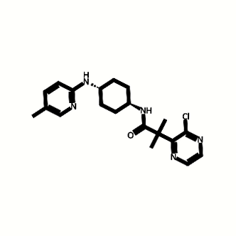 Cc1ccc(N[C@H]2CC[C@H](NC(=O)C(C)(C)c3nccnc3Cl)CC2)nc1